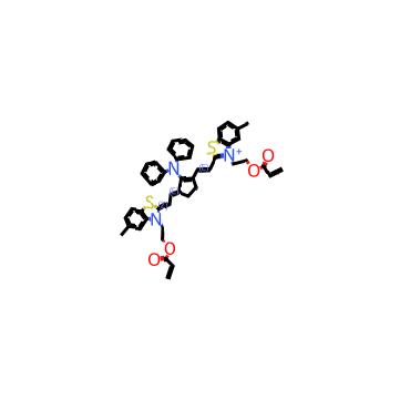 C=CC(=O)OCCN1/C(=C/C=C2\CCC(/C=C/c3sc4ccc(C)cc4[n+]3CCOC(=O)C=C)=C2N(c2ccccc2)c2ccccc2)Sc2ccc(C)cc21